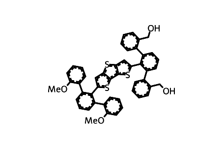 COc1ccccc1-c1cccc(-c2ccccc2OC)c1-c1cc2sc3cc(-c4c(-c5ccccc5CO)cccc4-c4ccccc4CO)sc3c2s1